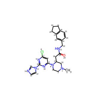 CN1CCN(c2cc(Cl)nc(-n3ccnc3)n2)C(CC(=O)NCc2ccc3c(c2)CCC3)C1